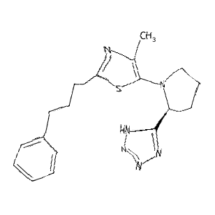 Cc1nc(CCCc2ccccc2)sc1N1CCC[C@H]1c1nnn[nH]1